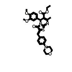 CCOC(=O)C1=C(C)N=c2s/c(=C\c3ccc(N4CCOCC4)cc3)c(=O)n2C1c1ccc(OC)c(OC)c1